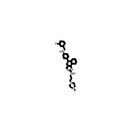 CN1CCN(CCCNc2ncc3c(n2)-c2ccccc2C(c2ccc(NCc4cccc(F)c4)cc2)C3)CC1